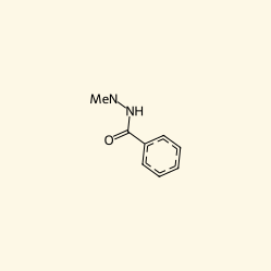 CNNC(=O)c1ccccc1